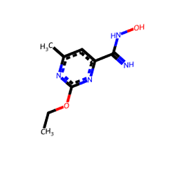 CCOc1nc(C)cc(C(=N)NO)n1